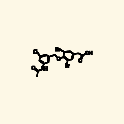 CC(=O)Nc1cc(Cl)cc(COc2c(Br)cc(CC(=O)O)cc2Br)c1